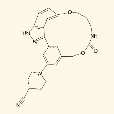 N#CC1CCN(c2cc3cc(c2)-c2n[nH]c4ccc(cc24)OCCCNC(=O)OC3)CC1